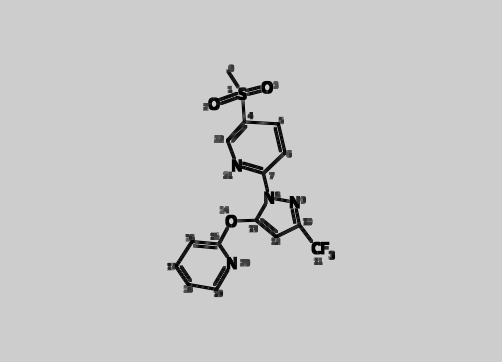 CS(=O)(=O)c1ccc(-n2nc(C(F)(F)F)cc2Oc2ccccn2)nc1